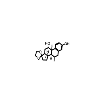 C[C@@H]1Cc2cc(O)ccc2[C@@H]2[C@@H]1[C@@H]1CCC3(OCCO3)[C@@]1(C)C[C@@H]2O